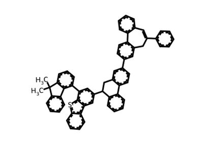 CC1(C)c2ccccc2-c2c(-c3cc(C4Cc5cc(-c6ccc7c(c6)CC(c6ccccc6)=Cc6ccccc6-7)ccc5-c5ccccc54)cc4c3sc3ccccc34)cccc21